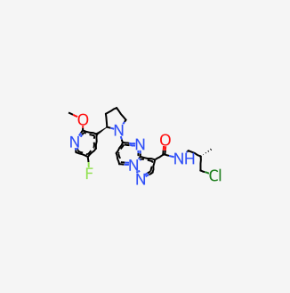 COc1ncc(F)cc1[C@H]1CCCN1c1ccn2ncc(C(=O)NC[C@H](C)CCl)c2n1